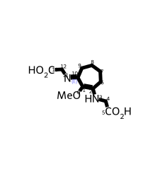 COC1=C(NCC(=O)O)CCCC/C1=N\CC(=O)O